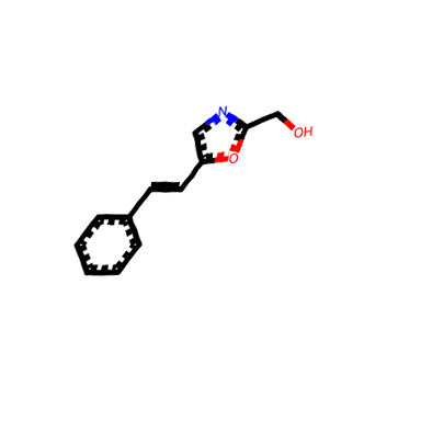 OCc1ncc(C=Cc2ccccc2)o1